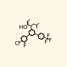 C/C=C(/O)C(CC(C)C)c1cc(-c2ccc(C(F)(F)F)cc2)cc(-c2ccc(Cl)c(F)c2)c1